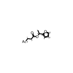 CC(=O)CCC(=O)OC(C)c1ccco1